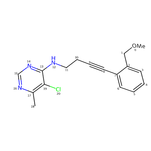 COCc1ccccc1C#CCCNc1ncnc(C)c1Cl